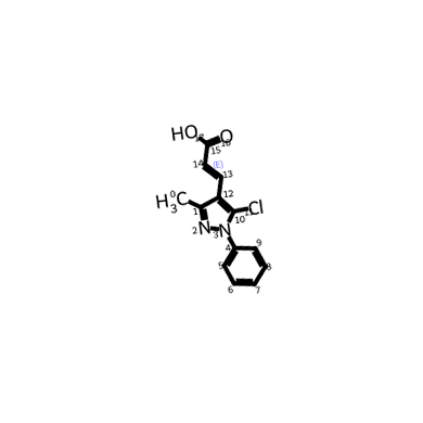 Cc1nn(-c2ccccc2)c(Cl)c1/C=C/C(=O)O